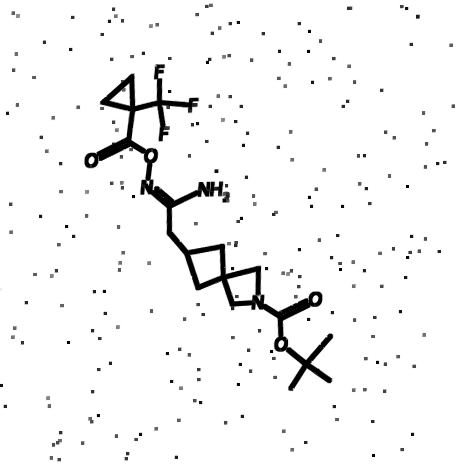 CC(C)(C)OC(=O)N1CC2(CC(C/C(N)=N/OC(=O)C3(C(F)(F)F)CC3)C2)C1